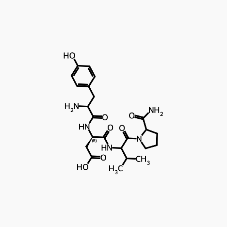 CC(C)C(NC(=O)[C@@H](CC(=O)O)NC(=O)C(N)Cc1ccc(O)cc1)C(=O)N1CCCC1C(N)=O